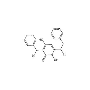 CCC(Cc1ccccc1)c1cc(O)c(C(CC)c2ccccc2)c(=O)n1O